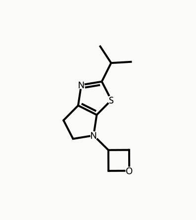 CC(C)c1nc2c(s1)N(C1COC1)CC2